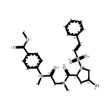 COC(=O)c1ccc(N(C)C(=O)CN(C)C(=O)C2CC(S)CN2S(=O)(=O)C=Cc2ccccc2)cc1